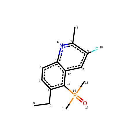 CCc1ccc2nc(C)c(F)cc2c1P(C)(C)=O